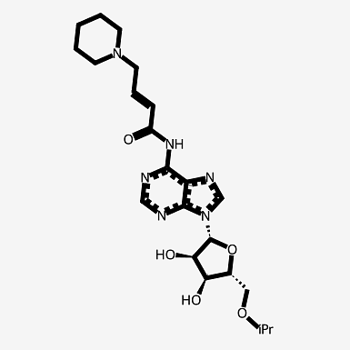 CC(C)OC[C@H]1O[C@@H](n2cnc3c(NC(=O)/C=C/CN4CCCCC4)ncnc32)[C@H](O)[C@@H]1O